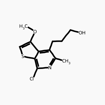 COc1csc2c(Cl)nc(C)c(CCCO)c12